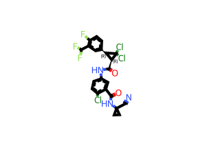 N#CC1(NC(=O)c2cc(NC(=O)[C@H]3[C@H](c4ccc(F)c(C(F)F)c4)C3(Cl)Cl)ccc2Cl)CC1